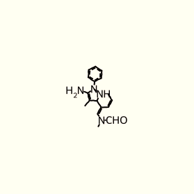 C/C=C\C(=C/N(C)C=O)C1NN(c2ccccc2)C(N)=C1C